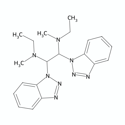 CCN(C)C(C(N(C)CC)n1nnc2ccccc21)n1nnc2ccccc21